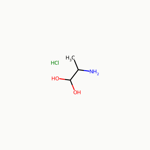 CC(N)C(O)O.Cl